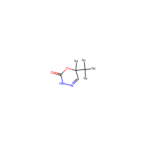 [2H]C([2H])([2H])C1([2H])C=NNC(=O)O1